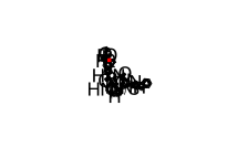 CCOP(=O)(OCC)C(F)(F)c1ccc2sc(C(=O)N[C@H]3CNCC[C@H]4CC[C@@H](C(=O)N[C@@H](CCC(N)=O)c5nc6c(s5)Cc5ccccc5-6)N4C3=O)cc2c1